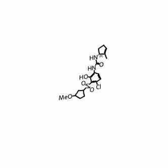 COC1CCC(S(=O)(=O)c2c(Cl)ccc(NC(=O)N[C@@H]3CCC=C3C)c2O)C1